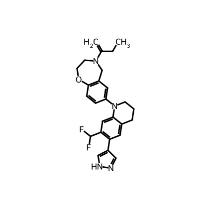 C=C(CC)N1CCOc2ccc(N3CCCc4cc(-c5cn[nH]c5)c(C(F)F)cc43)cc2C1